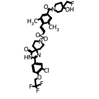 Cc1cc(C(=O)N2CCC(O)(CF)CC2)cc(C)c1/C=C/S(=O)(=O)N1CCC2(CC1)N=C(c1ccc(OCC(F)(F)F)c(Cl)c1)NC2=O